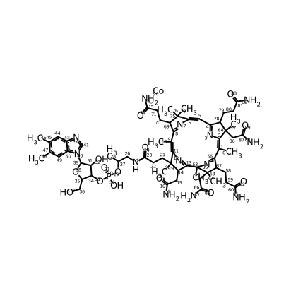 CC1=C2N=C(C=C3N=C(C(C)=C4N=C(C(CC(N)=O)C4(C)CCC(=O)NCC(C)OP(=O)(O)OC4C(CO)OC(n5cnc6cc(C)c(C)cc65)C4O)C4(C)N=C1C(CCC(N)=O)C4(C)CC(N)=O)C(CCC(N)=O)C3(C)C)C(CCC(N)=O)C2(C)CC(N)=O.[Co]